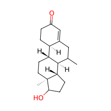 CC1CC2=CC(=O)CC[C@@H]2[C@H]2CC[C@]3(C)C(O)CC[C@H]3[C@H]12